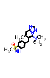 Cc1cc2ncnn2c(N(C)C)c1Cc1ccc([S@](C)(=N)=O)cc1